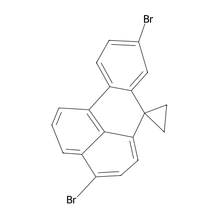 Brc1ccc2c(c1)C1(CC1)c1ccc(Br)c3cccc-2c13